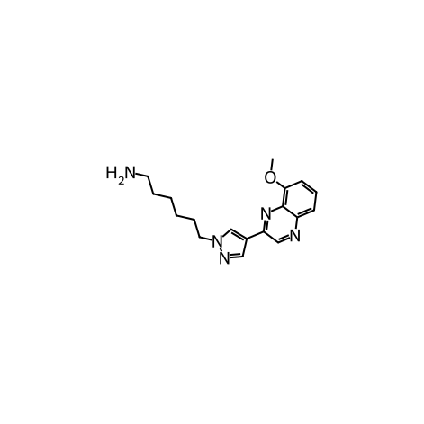 COc1cccc2ncc(-c3cnn(CCCCCCN)c3)nc12